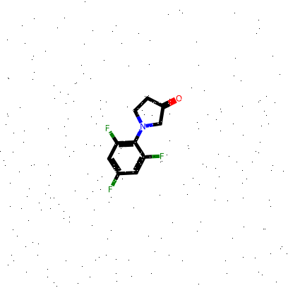 O=C1CCN(c2c(F)cc(F)cc2F)C1